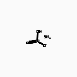 O=[N+]([O-])O.[SiH4]